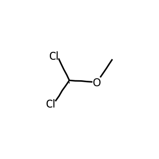 CO[C](Cl)Cl